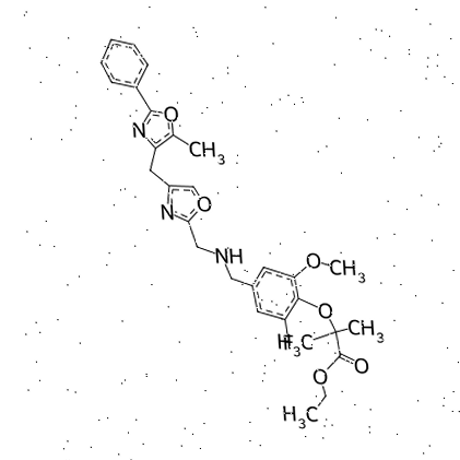 CCOC(=O)C(C)(C)Oc1c(F)cc(CNCc2nc(Cc3nc(-c4ccccc4)oc3C)co2)cc1OC